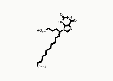 CCCCCC=CCC=CCC=CCC=C(CCCC(=O)O)n1cnc2c(=O)[nH]c(=O)[nH]c21